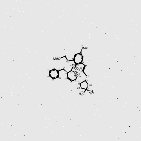 COCOc1cc(OC)cc(/C=C/C[C@@H]2OC(C)(C)O[C@@H]2C(O)/C=C\[C@@H](Cc2ccccc2)[C@H](C)O)c1C(=O)O